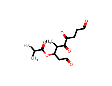 CC(C)C(=O)OC(CC=O)C(C)C(=O)C(=O)CCC=O